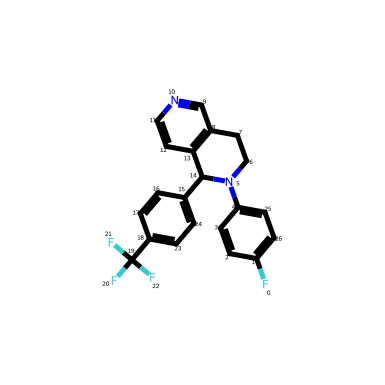 Fc1ccc(N2CCc3cnccc3C2c2ccc(C(F)(F)F)cc2)cc1